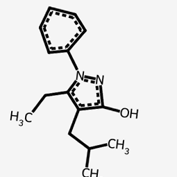 CCc1c(CC(C)C)c(O)nn1-c1ccccc1